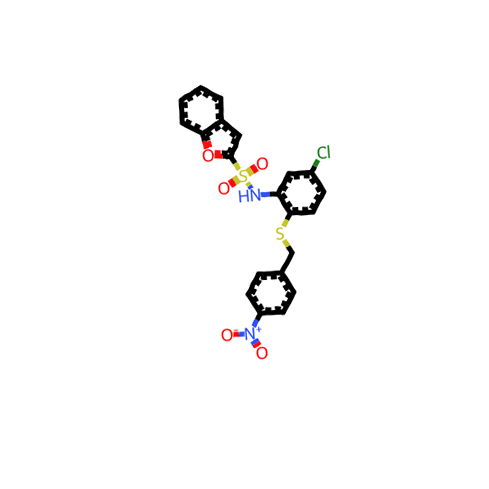 O=[N+]([O-])c1ccc(CSc2ccc(Cl)cc2NS(=O)(=O)c2cc3ccccc3o2)cc1